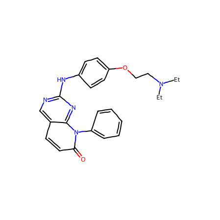 CCN(CC)CCOc1ccc(Nc2ncc3ccc(=O)n(-c4ccccc4)c3n2)cc1